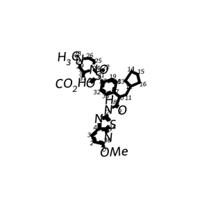 COc1ccc2nc(NC(=O)C(CC3CCCC3)c3ccc(S(=O)(=O)N4CCN(C)CC4C(=O)O)cc3)sc2n1